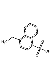 CCc1ccc(S(=O)(=O)O)c2ccccc12